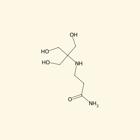 NC(=O)CCNC(CO)(CO)CO